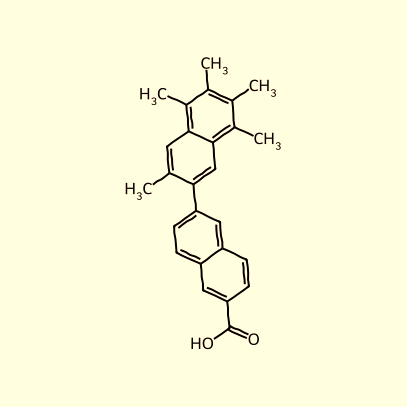 Cc1cc2c(C)c(C)c(C)c(C)c2cc1-c1ccc2cc(C(=O)O)ccc2c1